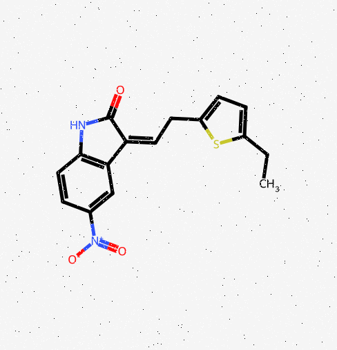 CCc1ccc(CC=C2C(=O)Nc3ccc([N+](=O)[O-])cc32)s1